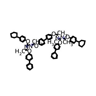 C=C(/N=C(\N=C(/C)Oc1ccc(-c2ccc(OC(=C)/N=C(\N=C(/C)Oc3ccc(C4CCCCC4)cc3)OC3(C)C=CC(c4ccccc4)=CC3)cc2)cc1)Oc1ccc(C2CCCCC2)cc1)Oc1ccc(-c2ccccc2)cc1